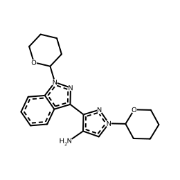 Nc1cn(C2CCCCO2)nc1-c1nn(C2CCCCO2)c2ccccc12